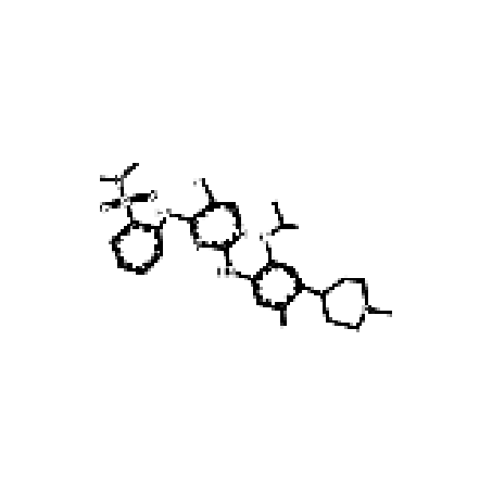 Cc1cc(Nc2ncc(Cl)c(Nc3ccccc3S(=O)(=O)N(C)C)n2)c(OC(C)C)cc1C1CCN(C)CC1